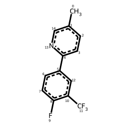 Cc1ccc(-c2ccc(F)c(C(F)(F)F)c2)nc1